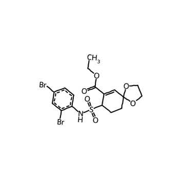 CCOC(=O)C1=CC2(CCC1S(=O)(=O)Nc1ccc(Br)cc1Br)OCCO2